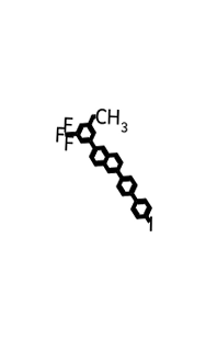 CCc1cc(-c2ccc3cc(-c4ccc(-c5ccc(I)cc5)cc4)ccc3c2)cc(C(F)(F)F)c1